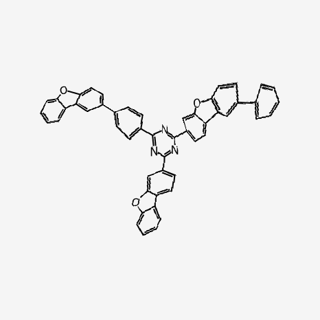 c1ccc(-c2ccc3oc4cc(-c5nc(-c6ccc(-c7ccc8oc9ccccc9c8c7)cc6)nc(-c6ccc7c(c6)oc6ccccc67)n5)ccc4c3c2)cc1